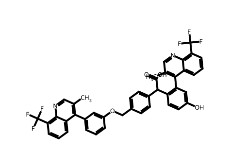 Cc1cnc2c(C(F)(F)F)cccc2c1-c1cccc(OCc2ccc(C(C(=O)O)c3ccc(O)cc3-c3c(C)cnc4c(C(F)(F)F)cccc34)cc2)c1